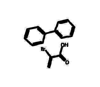 C=C(Br)C(=O)O.c1ccc(-c2ccccc2)cc1